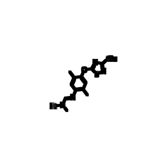 CCN(C)C=Nc1cc(C)c(Oc2nc(C(C)(C)C)ns2)cc1C